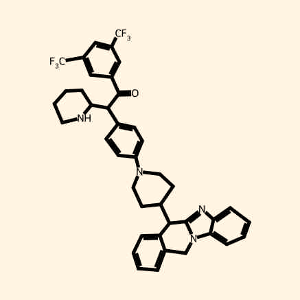 O=C(c1cc(C(F)(F)F)cc(C(F)(F)F)c1)C(c1ccc(N2CCC(C3c4ccccc4Cn4c3nc3ccccc34)CC2)cc1)C1CCCCN1